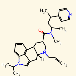 C=CCN1C[C@H](C(=O)N(C)C(C)CC(C)c2ccncc2)CC2c3cccc4c3c(cn4C(C)C)C[C@H]21